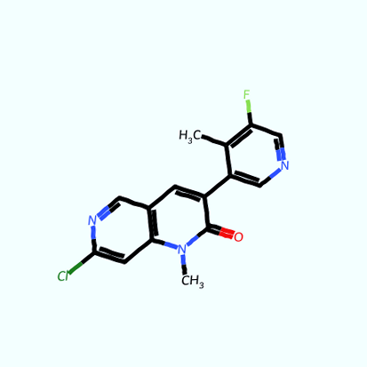 Cc1c(F)cncc1-c1cc2cnc(Cl)cc2n(C)c1=O